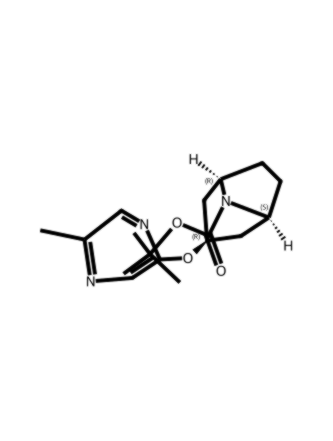 Cc1cnc(O[C@H]2C[C@H]3CC[C@@H](C2)N3C(=O)OC(C)(C)C)cn1